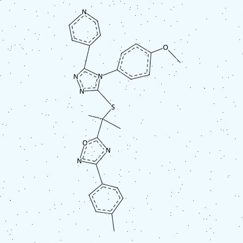 COc1ccc(-n2c(SC(C)(C)c3nc(-c4ccc(C)cc4)no3)nnc2-c2ccncc2)cc1